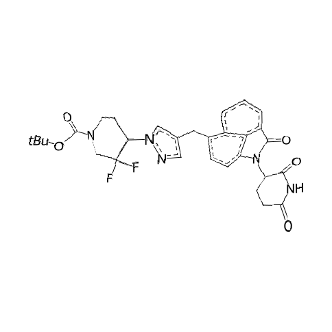 CC(C)(C)OC(=O)N1CCC(n2cc(Cc3ccc4c5c(cccc35)C(=O)N4C3CCC(=O)NC3=O)cn2)C(F)(F)C1